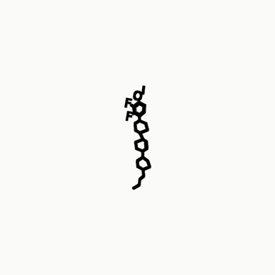 CCCCC1CCC(C2C=CC(C3CCC(c4ccc(OCC)c(F)c4F)CC3)CC2)CC1